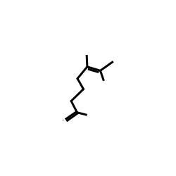 [CH]=C(C)CCCC(C)=C(C)C